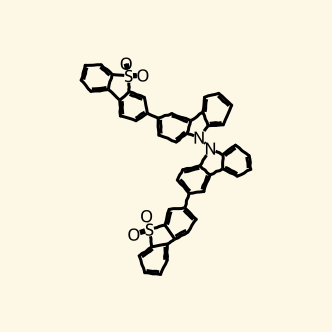 O=S1(=O)c2ccccc2-c2ccc(-c3ccc4c(c3)c3ccccc3n4-n3c4ccccc4c4cc(-c5ccc6c(c5)S(=O)(=O)c5ccccc5-6)ccc43)cc21